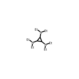 CCN(CC)[C]1C(N(CC)CC)C1N(CC)CC